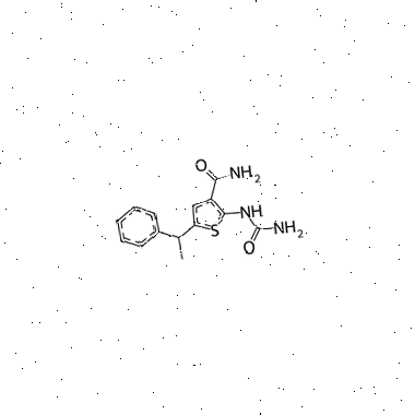 CC(c1ccccc1)c1cc(C(N)=O)c(NC(N)=O)s1